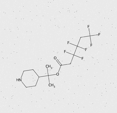 CC(C)(OC(=O)CC(F)(F)C(F)(F)CC(F)(F)F)C1CCNCC1